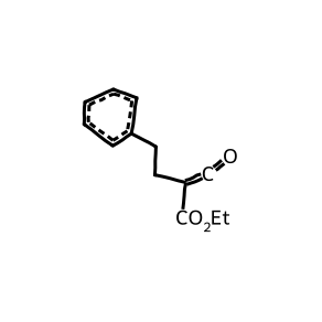 CCOC(=O)C(=C=O)CCc1ccccc1